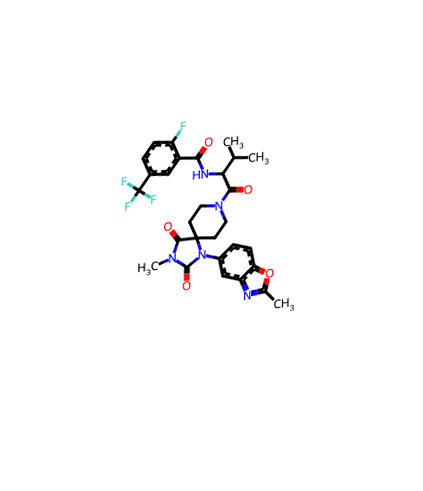 Cc1nc2cc(N3C(=O)N(C)C(=O)C34CCN(C(=O)C(NC(=O)c3cc(C(F)(F)F)ccc3F)C(C)C)CC4)ccc2o1